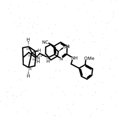 COc1ccccc1CNc1ncc(C#N)c(NC[C@]23CC4C[C@H](C2)[C@@H](N[C@H]2CC[C@H](O)CC2)[C@@H](C4)C3)n1